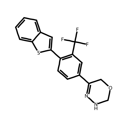 FC(F)(F)c1cc(C2=NNCOC2)ccc1-c1cc2ccccc2s1